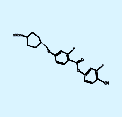 CCCCCCCCC[C@H]1CC[C@H](COc2ccc(C(=O)Oc3ccc(C#N)c(F)c3)c(F)c2)CC1